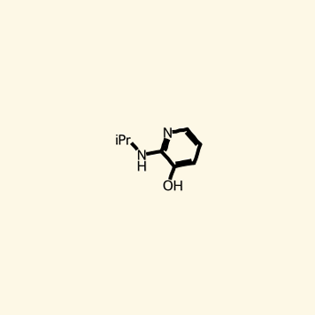 CC(C)Nc1ncccc1O